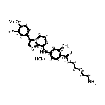 COc1ccc(-c2cnc3c(Nc4ccc(C(=O)NCCOCCN)c(C)c4)nccn23)cc1F.Cl